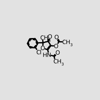 CC(=O)NC1=C(OC(C)=O)C(=O)C(C)(c2ccccc2Cl)O1